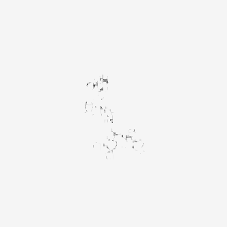 CC(=O)O[C@@H](CCC(c1ccco1)N1CCN(CC[C@H](CN(C)C(=O)c2ccccc2)c2ccc(Cl)c(Cl)c2)CC1)C(=O)O